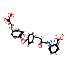 COC(=O)c1ccccc1NC(=O)Cc1ccc(Oc2ccc(OCC(=O)O)cc2)cc1